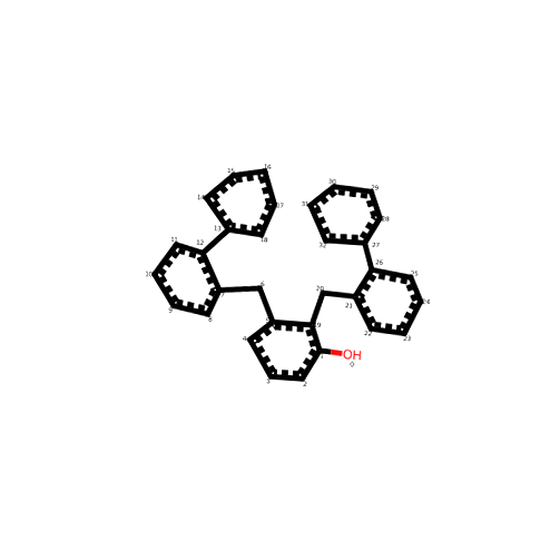 Oc1cccc(Cc2ccccc2-c2ccccc2)c1Cc1ccccc1-c1ccccc1